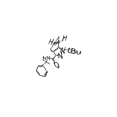 CC(C)(NC(=O)c1nn(C(C)(C)C)c2c1C[C@H]1C[C@@H]21)c1ccccc1